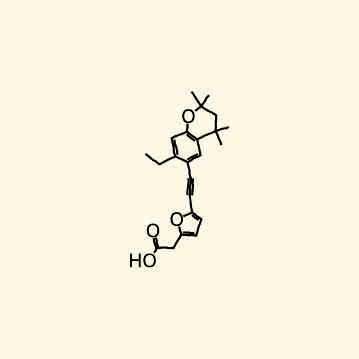 CCc1cc2c(cc1C#Cc1ccc(CC(=O)O)o1)C(C)(C)CC(C)(C)O2